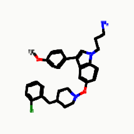 NCCCn1cc(-c2ccc(OC(F)(F)F)cc2)c2cc(ON3CCC(Cc4ccccc4Cl)CC3)ccc21